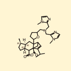 CC(C)C1=CC2CC3(C=O)[C@@H]4CC[C@@H](C)[C@H]4CC2(C2CCC(CN(Cc4nccn4C)Cc4nccn4C)O2)C13C(=O)O